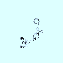 CC(C)OP(=O)(CCCN1CCN(C(=O)OCc2ccccc2)CC1)OC(C)C